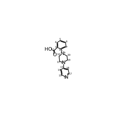 O=C(O)c1ccccc1N1CCN(c2ccncc2)CC1